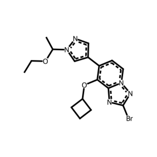 CCOC(C)n1cc(-c2ccn3nc(Br)nc3c2OC2CCC2)cn1